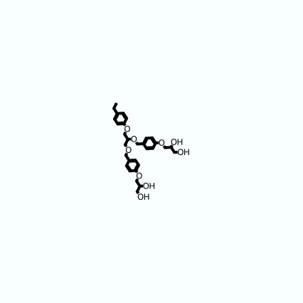 CCc1ccc(OCC(COCc2ccc(OCC(O)CO)cc2)OCc2ccc(OCC(O)CO)cc2)cc1